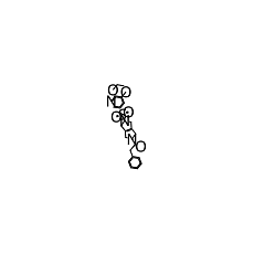 O=C(Cc1ccccc1)N1CC2=C(C1)CN(S(=O)(=O)c1cnc3c(c1)OCCO3)C2